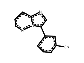 N#Cc1cccc(-c2cnc3cccnn23)c1